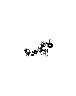 CC(C)(C)OC(=O)N1CC[C@]2(C1)C[C@H](n1nc(-c3cnn(Cc4ccccc4F)c3)c(C#N)c1N)C2